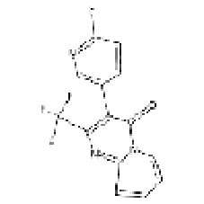 O=c1c(-c2ccc(F)nc2)c(C(F)(F)F)nc2ccccn12